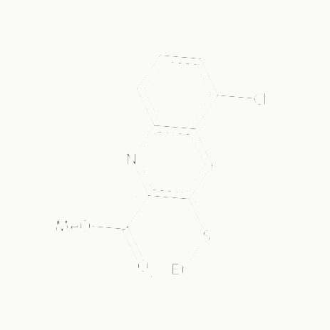 CCSc1cc2c(Cl)cccc2nc1C(=O)OC